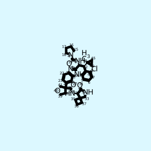 CC1([C@@H](c2ccccc2Cl)[C@H](NC(=O)N2CCCC2)c2nc3ccc(C4(C(=O)N[C@H]5C(=O)NCC56CCC6)CCOC4)cc3[nH]2)CC1